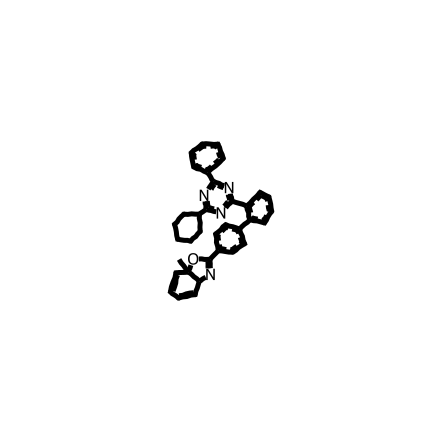 CC12C=CC=CC1N=C(c1ccc(-c3ccccc3-c3nc(-c4ccccc4)nc(C4CCCCC4)n3)cc1)O2